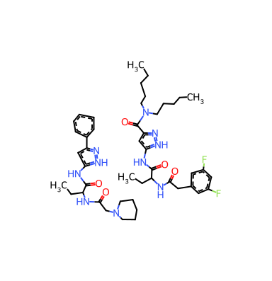 CCC(NC(=O)CN1CCCCC1)C(=O)Nc1cc(-c2ccccc2)n[nH]1.CCCCCN(CCCCC)C(=O)c1cc(NC(=O)C(CC)NC(=O)Cc2cc(F)cc(F)c2)[nH]n1